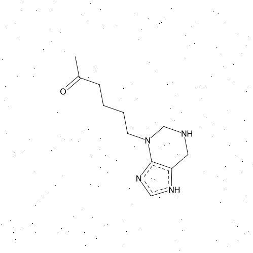 CC(=O)CCCCN1CNCc2[nH]cnc21